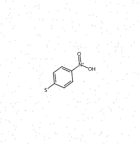 O=[N+](O)c1ccc([S-])cc1